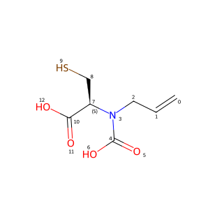 C=CCN(C(=O)O)[C@H](CS)C(=O)O